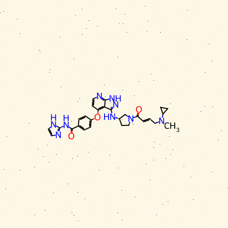 CN(C/C=C/C(=O)N1CC[C@@H](Nc2n[nH]c3nccc(Oc4ccc(C(=O)Nc5ncc[nH]5)cc4)c23)C1)C1CC1